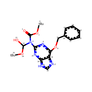 CC(C)(C)OC(=O)N(c1nc(OCc2ccccc2)c2nc[nH]c2n1)C(O)OC(C)(C)C